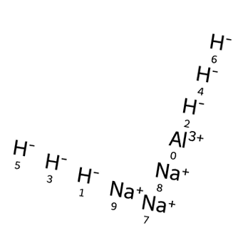 [Al+3].[H-].[H-].[H-].[H-].[H-].[H-].[Na+].[Na+].[Na+]